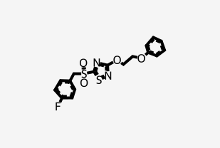 O=S(=O)(Cc1ccc(F)cc1)c1nc(OCCOc2ccccc2)ns1